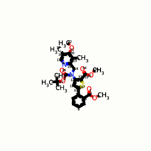 COC(=O)c1ccccc1-c1cc(N(Cc2ncc(C)c(OC)c2C)C(=O)OC(C)(C)C)c(C(=O)OC)s1